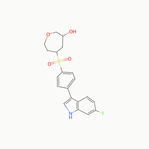 O=S(=O)(c1ccc(-c2c[nH]c3cc(F)ccc23)cc1)C1CCOCC(O)C1